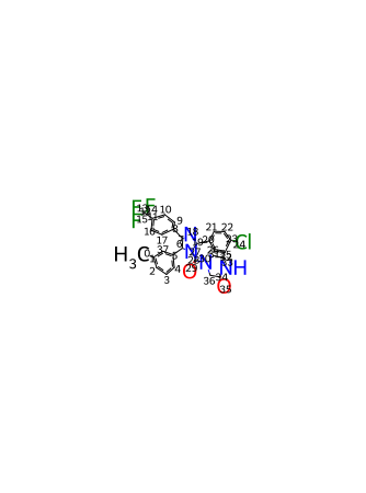 Cc1cccc(C2C(c3ccc(C(F)(F)F)cc3)N=C(c3ccc(Cl)cc3)N2C(=O)N2CCNC(=O)C2)c1